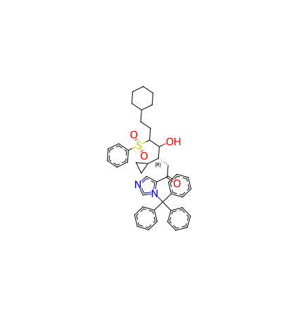 O=C(C[C@H](C1CC1)C(O)C(CCC1CCCCC1)S(=O)(=O)c1ccccc1)c1cncn1C(c1ccccc1)(c1ccccc1)c1ccccc1